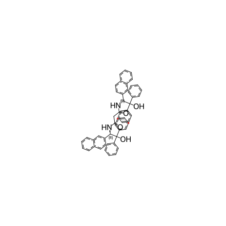 O=C(CC(=O)N[C@H](c1ccc2ccccc2c1)C(O)(c1ccccc1)c1ccccc1)N[C@H](c1ccc2ccccc2c1)C(O)(c1ccccc1)c1ccccc1